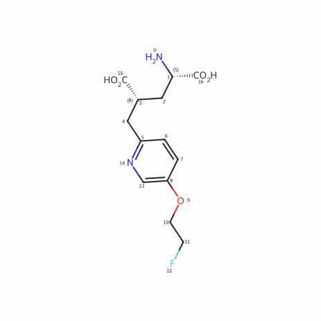 N[C@@H](C[C@H](Cc1ccc(OCCF)cn1)C(=O)O)C(=O)O